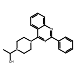 CC(O)N1CCN(c2nc(-c3ccccc3)nc3ccccc23)CC1